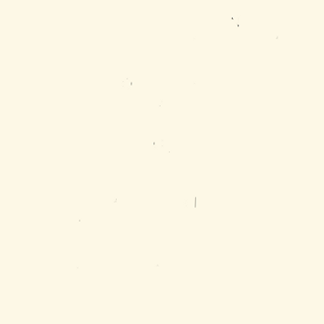 O=C(OCc1ccccc1Cl)c1cccnc1